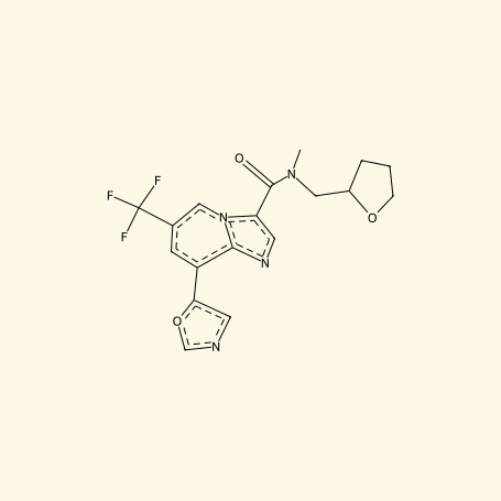 CN(CC1CCCO1)C(=O)c1cnc2c(-c3cnco3)cc(C(F)(F)F)cn12